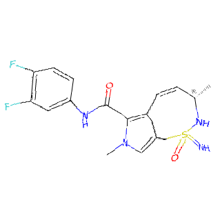 C[C@H]1C=Cc2c(cn(C)c2C(=O)Nc2ccc(F)c(F)c2)S(=N)(=O)N1